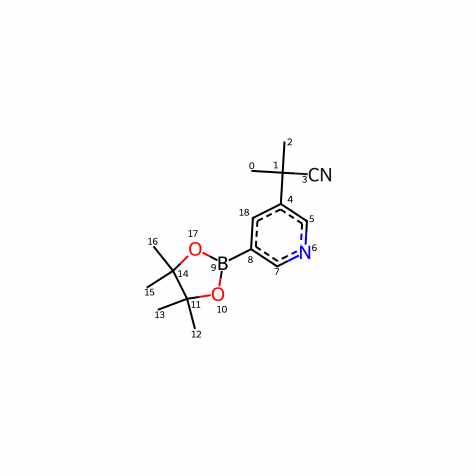 CC(C)(C#N)c1cncc(B2OC(C)(C)C(C)(C)O2)c1